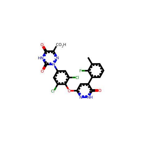 Cc1cccc(-c2cc(Oc3c(Cl)cc(-n4nc(C(=O)O)c(=O)[nH]c4=O)cc3Cl)n[nH]c2=O)c1F